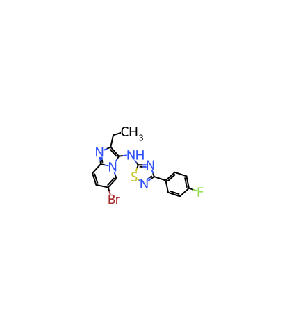 CCc1nc2ccc(Br)cn2c1Nc1nc(-c2ccc(F)cc2)ns1